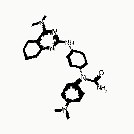 CN(C)c1ccc(N(C(N)=O)[C@H]2CC[C@@H](Nc3nc4c(c(N(C)C)n3)CCCC4)CC2)cc1